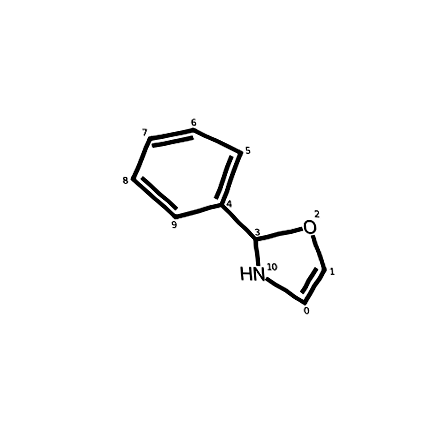 C1=COC(c2ccccc2)N1